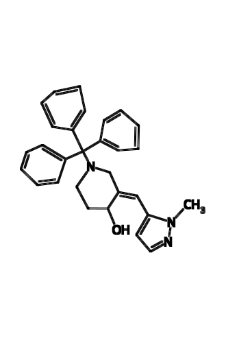 Cn1nccc1C=C1CN(C(c2ccccc2)(c2ccccc2)c2ccccc2)CCC1O